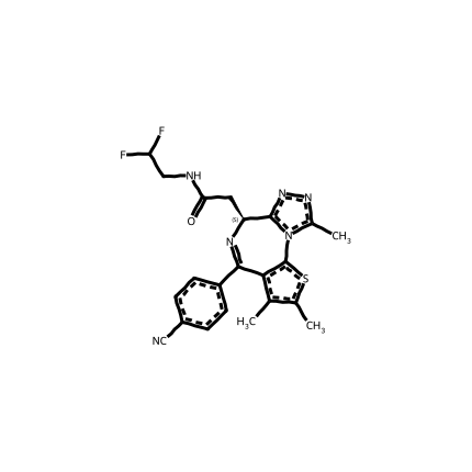 Cc1sc2c(c1C)C(c1ccc(C#N)cc1)=N[C@@H](CC(=O)NCC(F)F)c1nnc(C)n1-2